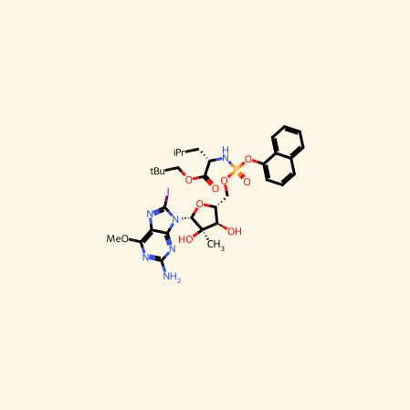 COc1nc(N)nc2c1nc(I)n2[C@@H]1O[C@H](COP(=O)(N[C@@H](CC(C)C)C(=O)OCC(C)(C)C)Oc2cccc3ccccc23)[C@@H](O)[C@@]1(C)O